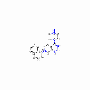 c1ccc2c(N3CCc4c(ncnc4N4CCNCC4)C3)cccc2c1